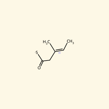 C/C=C(\C)CC(=O)[S]